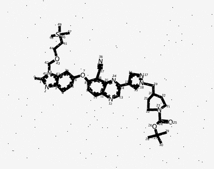 Cc1nc2ccc(Oc3ccc4ncc(-c5cnn(CC6CCN(C(=O)OC(C)(C)C)CC6)c5)nc4c3C#N)cc2n1COCC[Si](C)(C)C